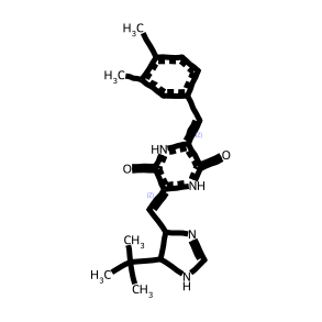 Cc1ccc(/C=c2\[nH]c(=O)/c(=C/C3N=CNC3C(C)(C)C)[nH]c2=O)cc1C